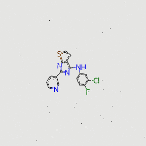 Fc1ccc(Nc2nc(-c3cccnc3)nc3sccc23)cc1Cl